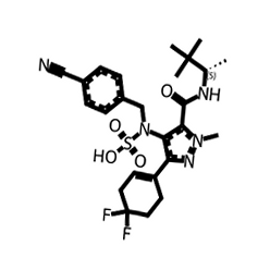 C[C@H](NC(=O)c1c(N(Cc2ccc(C#N)cc2)S(=O)(=O)O)c(C2=CCC(F)(F)CC2)nn1C)C(C)(C)C